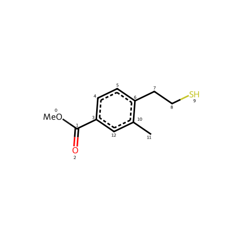 COC(=O)c1ccc(CCS)c(C)c1